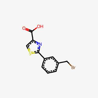 O=C(O)c1csc(-c2cccc(CBr)c2)n1